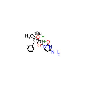 CC(C)(C)[Si](C)(C)O[C@@H]1[C@@H](Cc2[c]cccc2)O[C@@H](n2ccc(N)nc2=O)C1(F)F